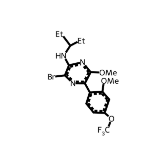 CCC(CC)Nc1nc(OC)c(-c2ccc(OC(F)(F)F)cc2OC)nc1Br